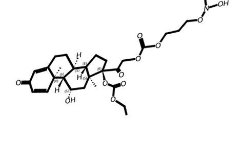 CCOC(=O)O[C@]1(C(=O)COC(=O)OCCCON(O)O)CC[C@H]2[C@@H]3CCC4=CC(=O)C=C[C@]4(C)[C@H]3[C@@H](O)C[C@@]21C